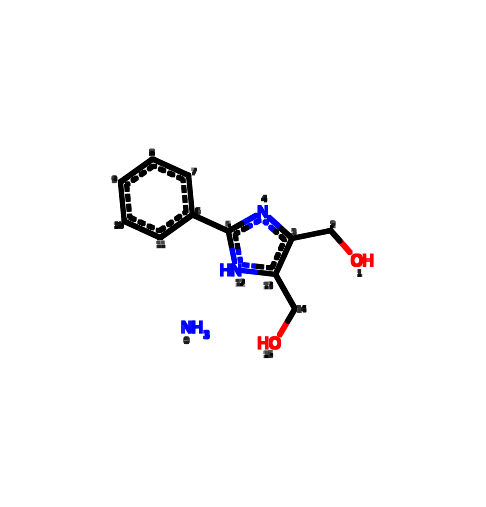 N.OCc1nc(-c2ccccc2)[nH]c1CO